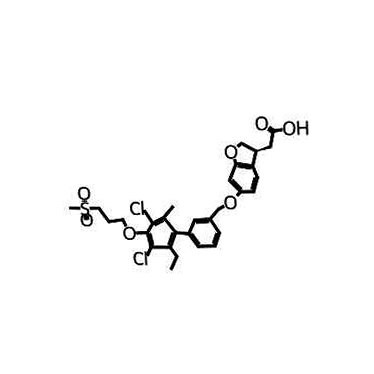 CCc1c(Cl)c(OCCCS(C)(=O)=O)c(Cl)c(C)c1-c1cccc(COc2ccc3c(c2)OC[C@H]3CC(=O)O)c1